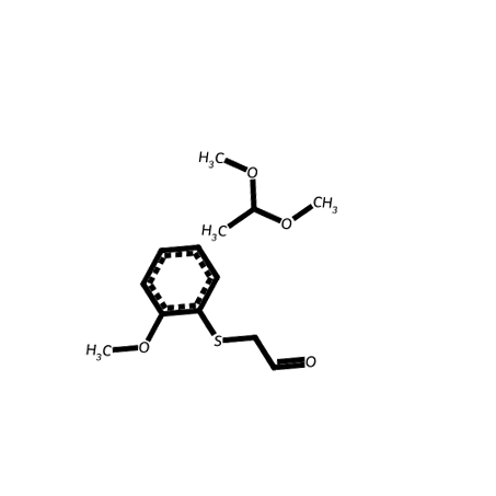 COC(C)OC.COc1ccccc1SCC=O